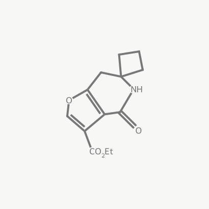 CCOC(=O)c1coc2c1C(=O)NC1(CCC1)C2